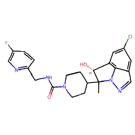 CC1(C2CCN(C(=O)NCc3ccc(F)cn3)CC2)[C@H](O)c2cc(Cl)cc3cnn1c23